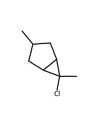 CC1CC2C(C1)C2(C)Cl